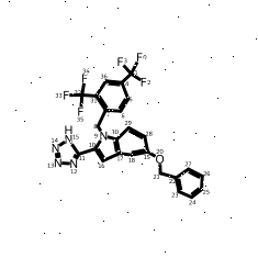 FC(F)(F)c1ccc(Cn2c(-c3nnn[nH]3)cc3cc(OCc4ccccc4)ccc32)c(C(F)(F)F)c1